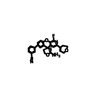 N#Cc1cccc(-c2ccc3c(c2)[C@]2(CCOC(N)=N2)c2cc(C4=CCOCC4)nc(F)c2O3)c1